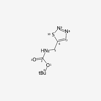 CC(C)(C)OC(=O)NCc1[c]nns1